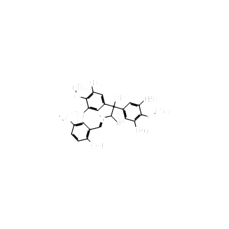 CCCCOc1c(C(C)(C)C)cc(C(O)(c2cc(C(C)(C)C)c(OCCCC)c(C(C)(C)C)c2)C(N=Cc2cc(C#N)ccc2O)C(C)C)cc1C(C)(C)C